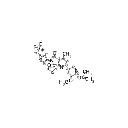 COc1cc(-c2cc(C)c3c(n2)C2(CCCO2)N(c2cnn(CC(F)(F)F)c2)C3=O)cnc1OC(C)C